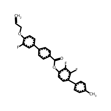 C=CCOc1ccc(-c2ccc(C(=O)Oc3ccc(-c4ccc(C)cc4)c(F)c3F)cc2)cc1F